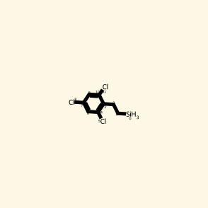 [SiH3]CCc1c(Cl)cc(Cl)cc1Cl